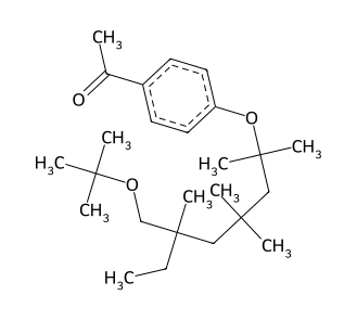 CCC(C)(COC(C)(C)C)CC(C)(C)CC(C)(C)Oc1ccc(C(C)=O)cc1